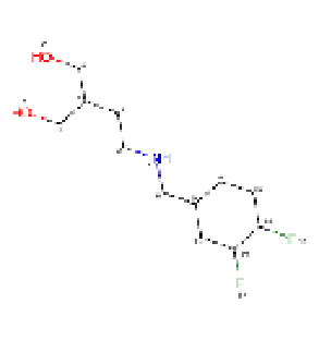 OCC(CO)CCNCC1CCC(F)C(F)C1